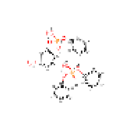 O.O=P(O)(Oc1ccccc1)Oc1ccccc1.O=P(O)(Oc1ccccc1)Oc1ccccc1